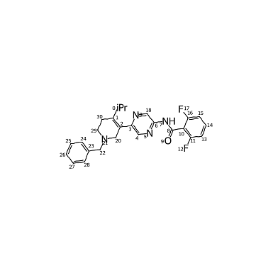 CC(C)C1=C(c2cnc(NC(=O)c3c(F)cccc3F)cn2)CN(Cc2ccccc2)CC1